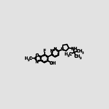 Cc1nc2cc(O)c(-c3ccc(N4CCC(NC(C)(C)C)C4)nn3)c(F)c2o1